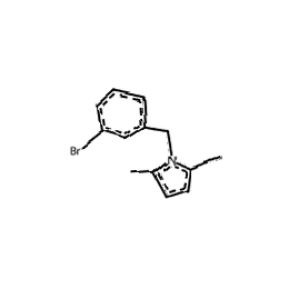 Cc1ccc(C)n1Cc1cccc(Br)c1